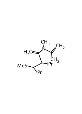 C=C(C)N(C)C(=C)C(C(C)C)C(SC)C(C)C